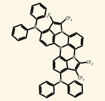 FC(F)(F)c1c(C(F)(F)F)n2c3c(ccc(N(c4ccccc4)c4ccccc4)c13)B1c3c-2cccc3-n2c(C(F)(F)F)c(C(F)(F)F)c3c(N(c4ccccc4)c4ccccc4)ccc1c32